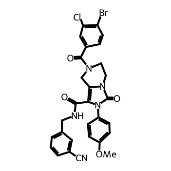 COc1ccc(-n2c(C(=O)NCc3cccc(C#N)c3)c3n(c2=O)CCN(C(=O)c2ccc(Br)c(Cl)c2)C3)cc1